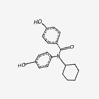 O=C(c1ccc(O)cc1)N(c1ccc(O)cc1)C1CCCCC1